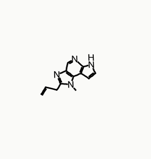 C=CCc1nc2cnc3[nH]ccc3c2n1C